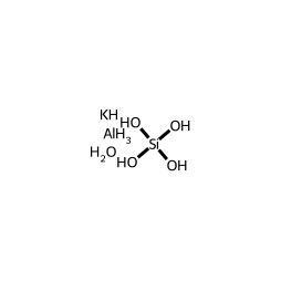 O.O[Si](O)(O)O.[AlH3].[KH]